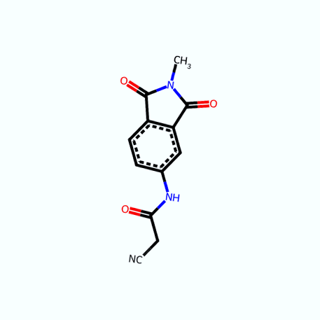 CN1C(=O)c2ccc(NC(=O)CC#N)cc2C1=O